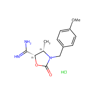 COc1ccc(CN2C(=O)O[C@H](C(=N)N)[C@@H]2C)cc1.Cl